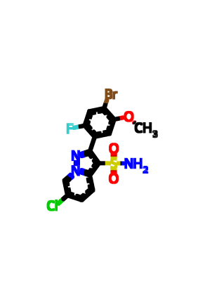 COc1cc(-c2nn3cc(Cl)ccc3c2S(N)(=O)=O)c(F)cc1Br